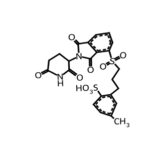 Cc1ccc(S(=O)(=O)O)c(CCCS(=O)(=O)c2cccc3c2C(=O)N(C2CCC(=O)NC2=O)C3=O)c1